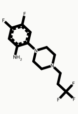 Nc1cc(F)c(F)cc1N1CCN(CCC(F)(F)F)CC1